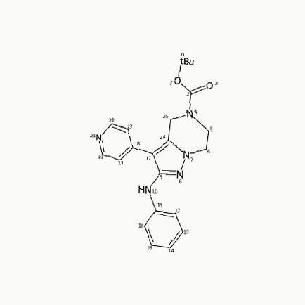 CC(C)(C)OC(=O)N1CCn2nc(Nc3ccccc3)c(-c3ccncc3)c2C1